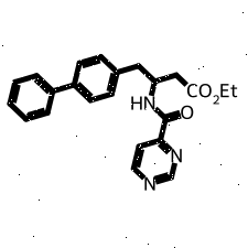 CCOC(=O)CC(Cc1ccc(-c2ccccc2)cc1)NC(=O)c1ccncn1